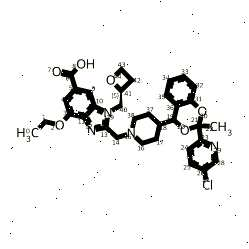 CCOc1cc(C(=O)O)cc2c1nc(CN1CCC(C3OC(C)(c4ccc(Cl)cn4)Oc4ccccc43)CC1)n2C[C@@H]1CCO1